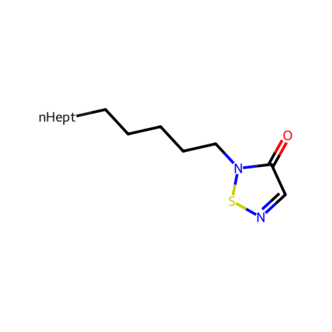 CCCCCCCCCCCCn1sncc1=O